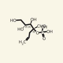 C=CC[C@@](C=O)(OP(=O)(O)O)[C@H](O)[C@H](O)CO